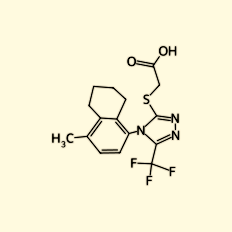 Cc1ccc(-n2c(SCC(=O)O)nnc2C(F)(F)F)c2c1CCCC2